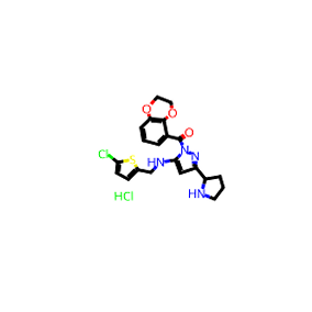 Cl.O=C(c1cccc2c1OCCO2)n1nc(C2CCCN2)cc1NCc1ccc(Cl)s1